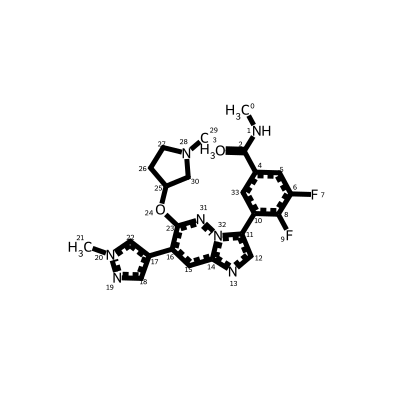 CNC(=O)c1cc(F)c(F)c(-c2cnc3cc(-c4cnn(C)c4)c(OC4CCN(C)C4)nn23)c1